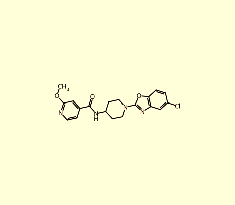 COc1cc(C(=O)NC2CCN(c3nc4cc(Cl)ccc4o3)CC2)ccn1